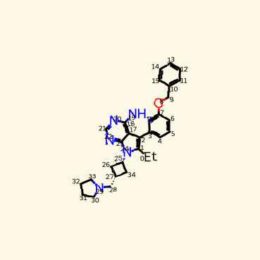 CCc1c(-c2cccc(OCc3ccccc3)c2)c2c(N)ncnc2n1[C@H]1C[C@@H](CN2CCCC2)C1